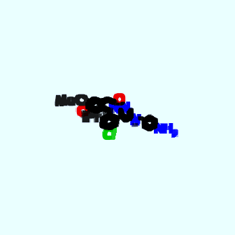 COc1cc2c(cc1OC(C)C)[C@H](c1ccc(Cl)cc1)N(c1ccc(N(C)C[C@H]3CC[C@H](N)CC3)cn1)C(=O)C2